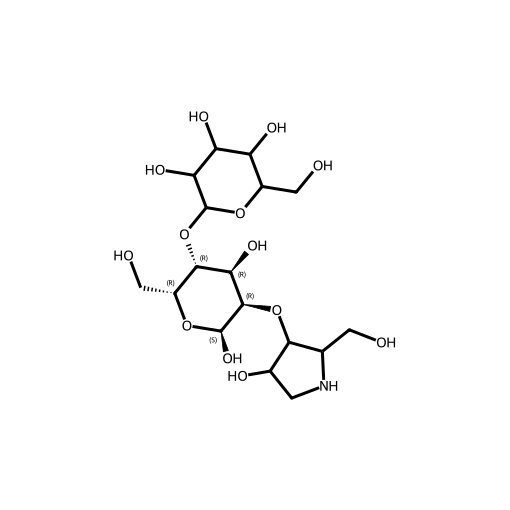 OCC1NCC(O)C1O[C@@H]1[C@H](O)[C@@H](OC2OC(CO)C(O)C(O)C2O)[C@@H](CO)O[C@@H]1O